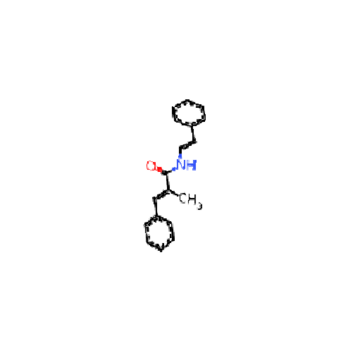 C/C(=C\c1ccccc1)C(=O)N/C=C/c1ccccc1